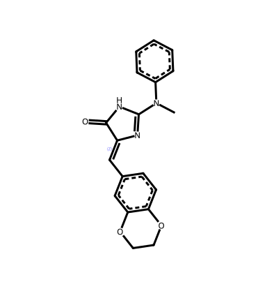 CN(C1=N/C(=C\c2ccc3c(c2)OCCO3)C(=O)N1)c1ccccc1